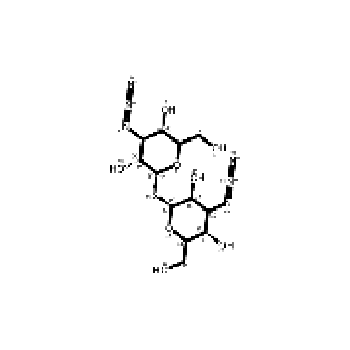 [N-]=[N+]=NC1[C@@H](O)C(CO)O[C@@H](S[C@@H]2OC(CO)[C@H](O)C(N=[N+]=[N-])[C@@H]2O)[C@@H]1O